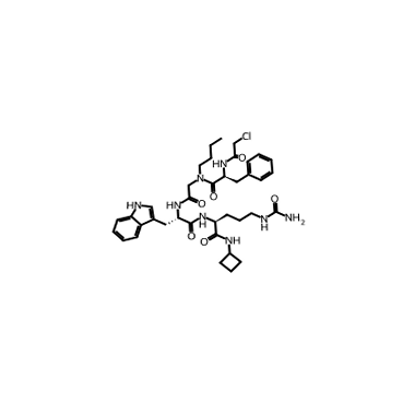 CCCCN(CC(=O)N[C@@H](Cc1c[nH]c2ccccc12)C(=O)N[C@@H](CCCNC(N)=O)C(=O)NC1CCC1)C(=O)[C@H](Cc1ccccc1)NC(=O)CCl